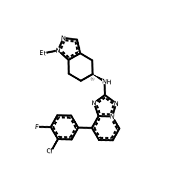 CCn1ncc2c1CC[C@H](Nc1nc3c(-c4ccc(F)c(Cl)c4)cccn3n1)C2